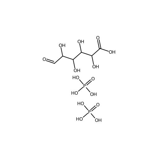 O=CC(O)C(O)C(O)C(O)C(=O)O.O=P(O)(O)O.O=P(O)(O)O